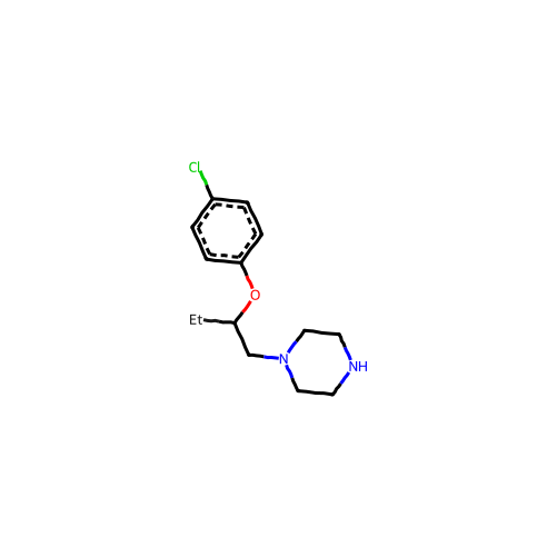 CCC(CN1CCNCC1)Oc1ccc(Cl)cc1